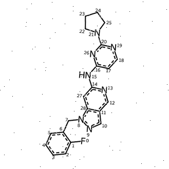 Fc1ccccc1Cn1ncc2cnc(Nc3ccnc(N4CCCC4)n3)cc21